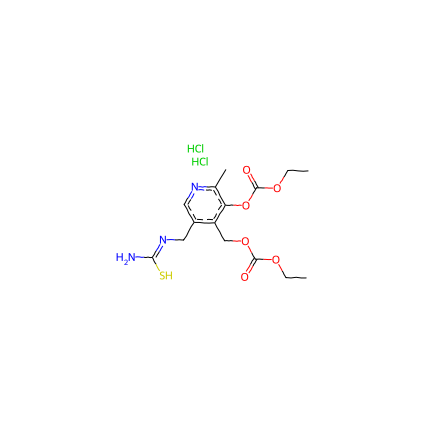 CCOC(=O)OCc1c(CN=C(N)S)cnc(C)c1OC(=O)OCC.Cl.Cl